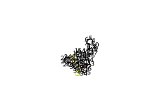 CC1(C)c2ccccc2-c2cc(-c3c4ccccc4c(-c4c5sc6ccccc6c5cc5sc6ccccc6c45)c4ccccc34)ccc21